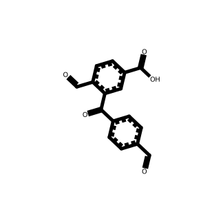 O=Cc1ccc(C(=O)c2cc(C(=O)O)ccc2C=O)cc1